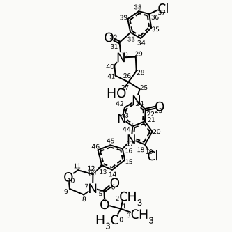 CC(C)(C)OC(=O)N1CCOC[C@H]1c1ccc(-n2c(Cl)cc3c(=O)n(CC4(O)CCN(C(=O)c5ccc(Cl)cc5)CC4)cnc32)cc1